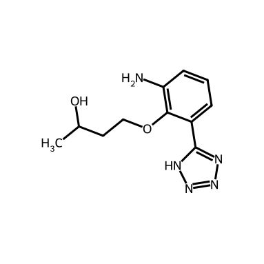 CC(O)CCOc1c(N)cccc1-c1nnn[nH]1